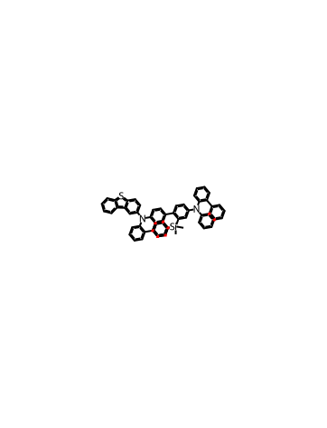 C[Si]1(C)c2cc(N(c3ccccc3)c3ccccc3-c3ccccc3)ccc2-c2ccc(N(c3ccc4sc5ccccc5c4c3)c3ccccc3-c3ccccc3)c3cccc1c23